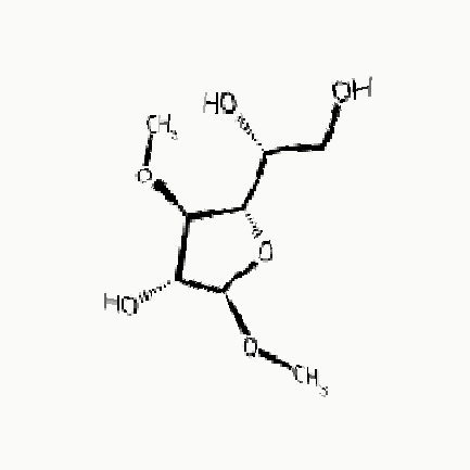 CO[C@@H]1O[C@@H]([C@H](O)CO)[C@H](OC)[C@H]1O